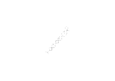 CC(=O)N1CCC(N2CC3(CC(N4CC5(CC(C(C)C)C5)C4)C3)C2)CC1